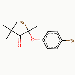 CC(C)(C)C(=O)C(C)(Br)Oc1ccc(Br)cc1